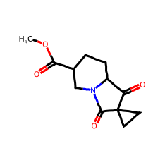 COC(=O)C1CCC2C(=O)C3(CC3)C(=O)N2C1